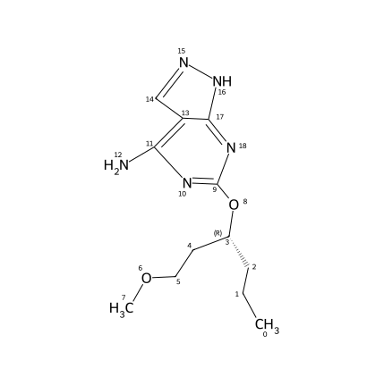 CCC[C@H](CCOC)Oc1nc(N)c2cn[nH]c2n1